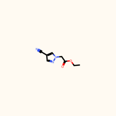 CCOC(=O)Cn1cc(C#N)cn1